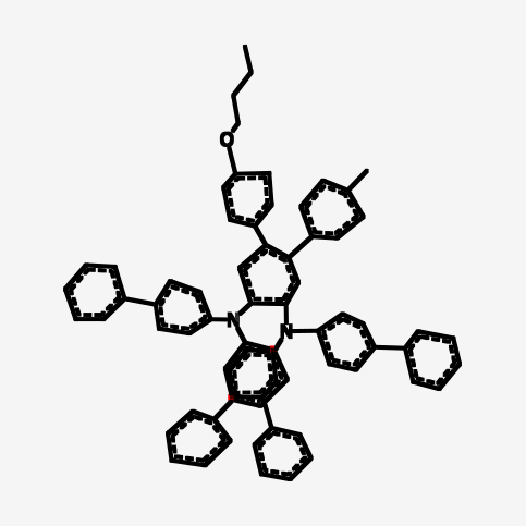 CCCCOc1ccc(-c2cc(N(c3ccc(-c4ccccc4)cc3)c3ccc(-c4ccccc4)cc3)c(N(c3ccc(-c4ccccc4)cc3)c3ccc(-c4ccccc4)cc3)cc2-c2ccc(C)cc2)cc1